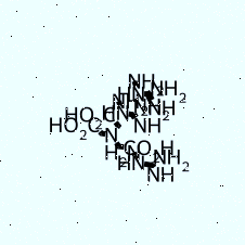 N=C(N)NN.N=C(N)NN.N=C(N)NN.O=C(O)CN(CC(=O)O)CC(=O)O